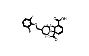 CC1C(C(=O)O)=CC=CC1(C(=O)O)N1CCC(COc2c(F)cccc2F)CC1